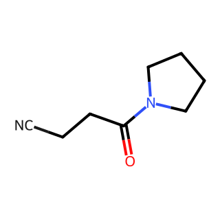 N#CCCC(=O)N1CCCC1